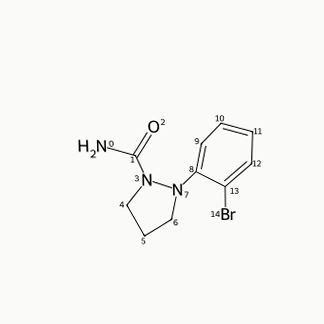 NC(=O)N1CCCN1c1ccccc1Br